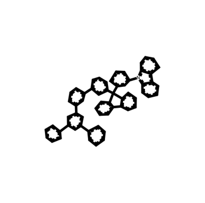 c1ccc(-c2cc(-c3ccccc3)cc(-c3cccc(-c4cccc(C5(c6cccc(-n7c8ccccc8c8ccccc87)c6)c6ccccc6-c6ccccc65)c4)c3)c2)cc1